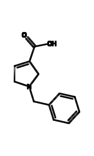 O=C(O)C1=CCN(Cc2ccccc2)C1